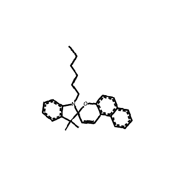 CCCCCCN1c2ccccc2C(C)(C)C12C=Cc1c(ccc3ccccc13)O2